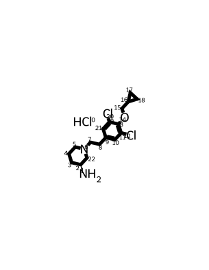 Cl.N[C@@H]1CCCN(CCc2cc(Cl)c(OCC3CC3)c(Cl)c2)C1